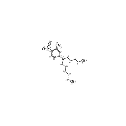 Cc1cc(N(CCCCO)CCCCCO)ccc1[N+](=O)[O-]